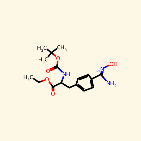 CCOC(=O)C(Cc1ccc(/C(N)=N/O)cc1)NC(=O)OC(C)(C)C